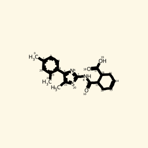 Cc1ccc(-c2nc(NC(=O)C3CC=CCC3C(=O)O)sc2C)c(C)c1